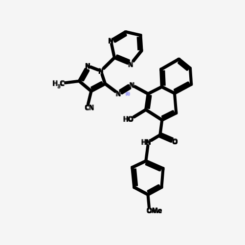 COc1ccc(NC(=O)c2cc3ccccc3c(/N=N/c3c(C#N)c(C)nn3-c3ncccn3)c2O)cc1